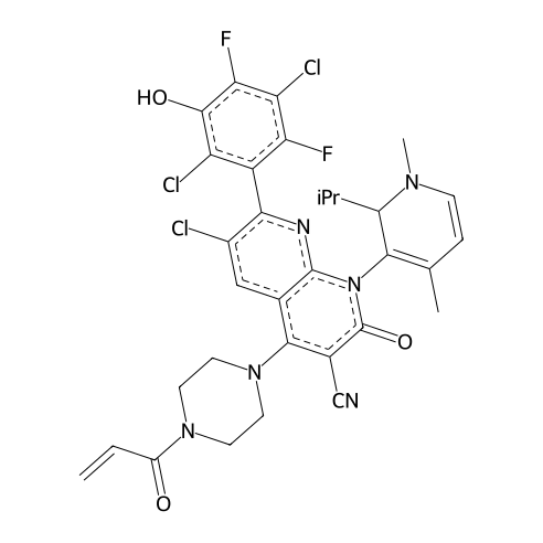 C=CC(=O)N1CCN(c2c(C#N)c(=O)n(C3=C(C)C=CN(C)C3C(C)C)c3nc(-c4c(F)c(Cl)c(F)c(O)c4Cl)c(Cl)cc23)CC1